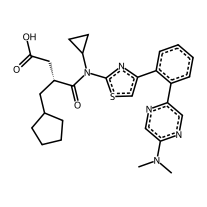 CN(C)c1cnc(-c2ccccc2-c2csc(N(C(=O)[C@@H](CC(=O)O)CC3CCCC3)C3CC3)n2)cn1